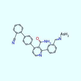 N#Cc1ccccc1-c1ccc(-c2ccnc(-c3cccc(C=N[AsH2])c3)c2C(N)=O)cc1